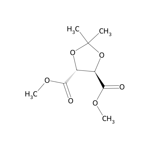 COC(=O)[C@@H]1OC(C)(C)O[C@H]1C(=O)OC